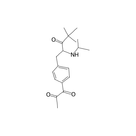 CC(=O)C(=O)c1ccc(CC(NC(C)C)C(=O)C(C)(C)C)cc1